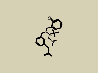 CC(C)Cc1cccc(CN(Cc2ccccc2Cl)[C@H](CN(C)C)C(C)(C)C)c1